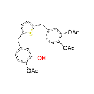 CC(=O)Oc1ccc(Cc2ccc(Cc3ccc(OC(C)=O)c(OC(C)=O)c3)s2)cc1O